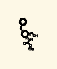 CC(C)(C)OC(=O)N[C@@H]1CCN(Cc2ccccc2)C[C@H]1CO